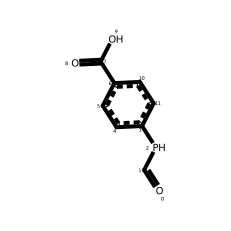 O=CPc1ccc(C(=O)O)cc1